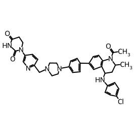 CC(=O)N1c2ccc(-c3ccc(N4CCN(Cc5ccc(N6CCC(=O)NC6=O)cn5)CC4)cc3)cc2C(Nc2ccc(Cl)cc2)CC1C